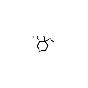 COC1(C)CCOC[C@@H]1O